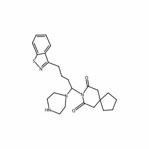 O=C1CC2(CCCC2)CC(=O)N1C(CCCc1nsc2ccccc12)N1CCNCC1